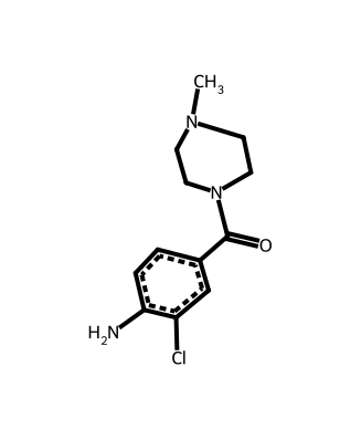 CN1CCN(C(=O)c2ccc(N)c(Cl)c2)CC1